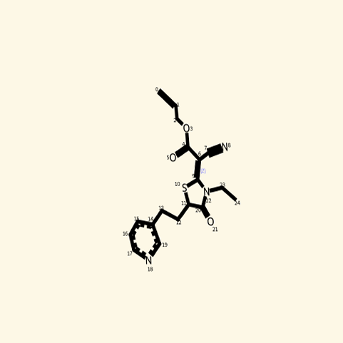 C=CCOC(=O)/C(C#N)=C1\SC(CCc2cccnc2)C(=O)N1CC